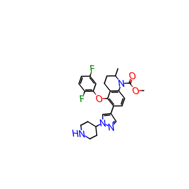 COC(=O)N1c2ccc(-c3cnn(C4CCNCC4)c3)c(Oc3cc(F)ccc3F)c2CCC1C